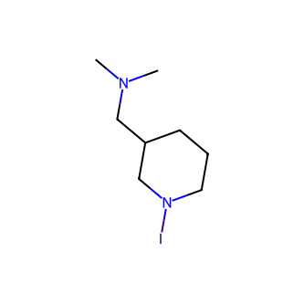 CN(C)CC1CCCN(I)C1